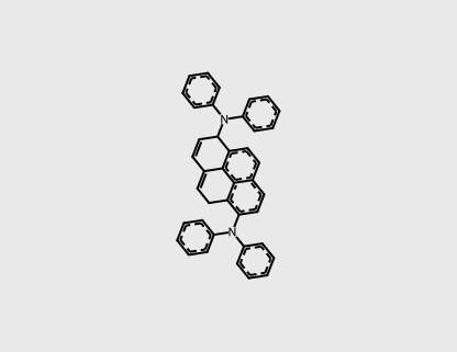 C1=CC(N(c2ccccc2)c2ccccc2)c2ccc3ccc(N(c4ccccc4)c4ccccc4)c4c3c2C1=CC4